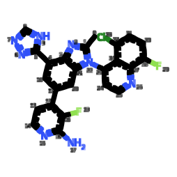 Cc1nc2c(-c3nnc[nH]3)cc(-c3ccnc(N)c3F)cc2n1-c1ccnc2c(F)ccc(Cl)c12